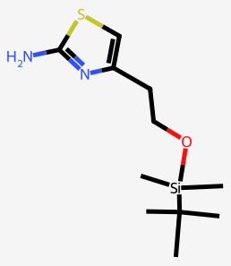 CC(C)(C)[Si](C)(C)OCCc1csc(N)n1